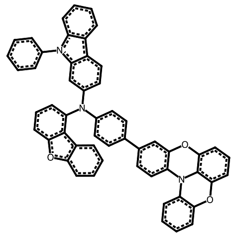 c1ccc(-n2c3ccccc3c3ccc(N(c4ccc(-c5ccc6c(c5)Oc5cccc7c5N6c5ccccc5O7)cc4)c4cccc5oc6ccccc6c45)cc32)cc1